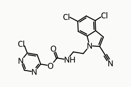 N#Cc1cc2c(Cl)cc(Cl)cc2n1CCNC(=O)Oc1cc(Cl)ncn1